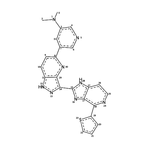 CN(C)c1cncc(-c2ccc3[nH]nc(-c4nc5c(-c6cccs6)nccc5[nH]4)c3n2)c1